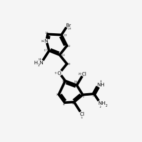 N=C(N)c1c(Cl)ccc(OCc2cc(Br)cnc2N)c1Cl